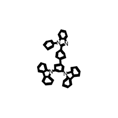 c1ccc(-n2c(-c3ccc(-c4cc(-n5c6ccccc6c6ccccc65)cc(-n5c6ccccc6c6ccccc65)c4)cc3)nc3ccccc32)cc1